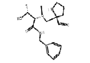 C[C@@H](O)[C@@H](C(=O)NCc1ccccc1)N(C)CC1(C=O)CCCN1